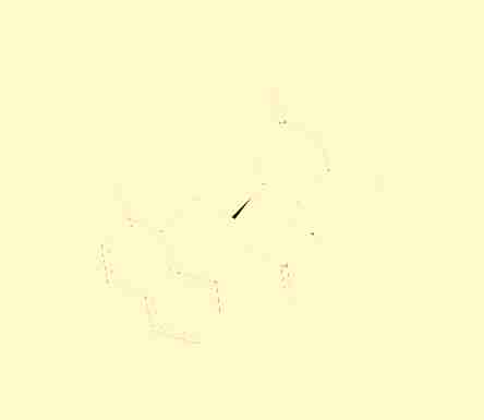 Cc1ccc2cccc(OC(=O)C(C)(C)C(C)C)c2c1CC[C@@H]1C[C@@H](O)CC(=O)O1